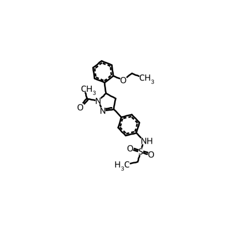 CCOc1ccccc1C1CC(c2ccc(NS(=O)(=O)CC)cc2)=NN1C(C)=O